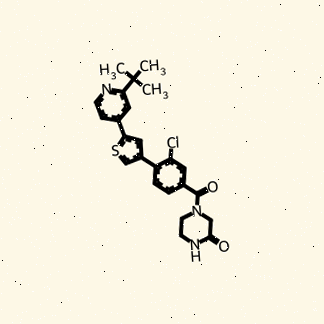 CC(C)(C)c1cc(-c2cc(-c3ccc(C(=O)N4CCNC(=O)C4)cc3Cl)cs2)ccn1